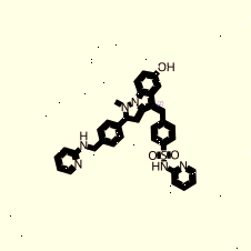 CN1C(c2ccc(CNc3ccccn3)cc2)C=c2/c(=C\c3ccc(S(=O)(=O)Nc4ccccn4)cc3)c3cc(O)ccc3n21